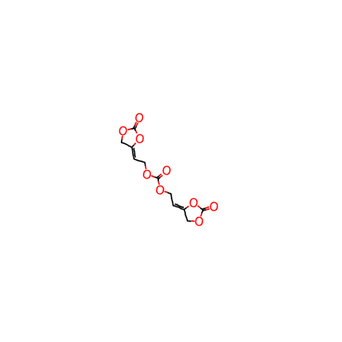 O=C(OC/C=C1/COC(=O)O1)OC/C=C1/COC(=O)O1